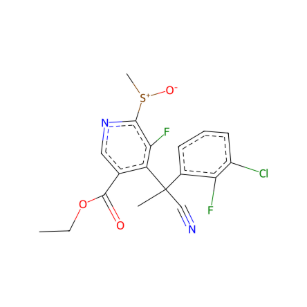 CCOC(=O)c1cnc([S+](C)[O-])c(F)c1C(C)(C#N)c1cccc(Cl)c1F